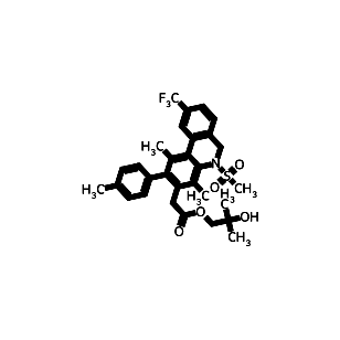 Cc1ccc(-c2c(C)c3c(c(C)c2CC(=O)OCC(C)(C)O)N(S(C)(=O)=O)Cc2ccc(C(F)(F)F)cc2-3)cc1